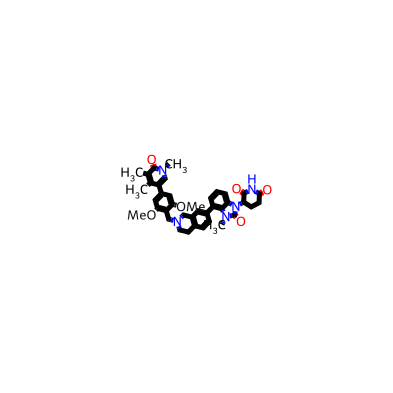 COc1cc(-c2cn(C)c(=O)c(C)c2C)cc(OC)c1CN1CCc2ccc(-c3cccc4c3n(C)c(=O)n4C3CCC(=O)NC3=O)cc2C1